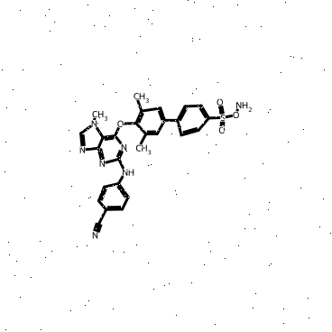 Cc1cc(-c2ccc(S(=O)(=O)ON)cc2)cc(C)c1Oc1nc(Nc2ccc(C#N)cc2)nc2ncn(C)c12